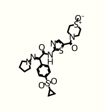 O=C(Nc1ncc(C(=O)N2CC[S+]([O-])CC2)s1)/C(=N/N1CCCC1)c1ccc(S(=O)(=O)C2CC2)cc1